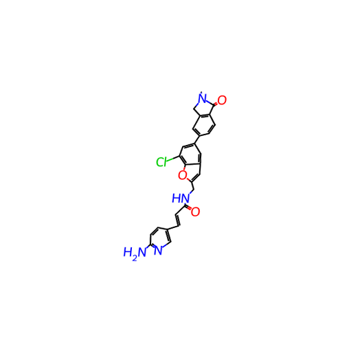 CN1Cc2cc(-c3cc(Cl)c4oc(CNC(=O)C=Cc5ccc(N)nc5)cc4c3)ccc2C1=O